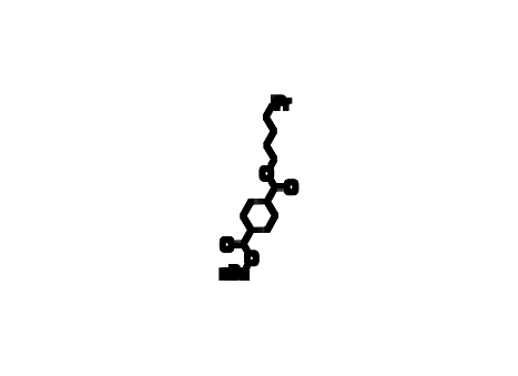 CCCCOC(=O)C1CCC(C(=O)OCCCCC(C)C)CC1